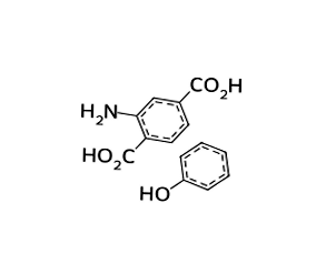 Nc1cc(C(=O)O)ccc1C(=O)O.Oc1ccccc1